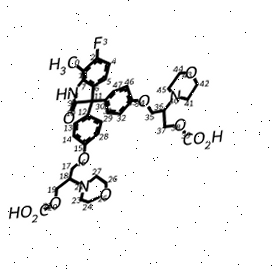 Cc1c(F)ccc2c1NC(=O)C2(c1ccc(OCC(COC(=O)O)N2CCOCC2)cc1)c1ccc(OCC(COC(=O)O)N2CCOCC2)cc1